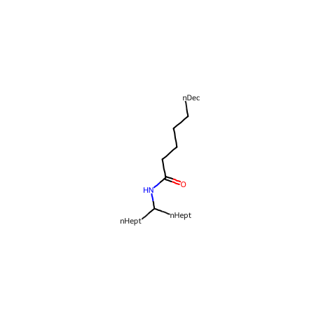 CCCCCCCCCCCCCCC(=O)NC(CCCCCCC)CCCCCCC